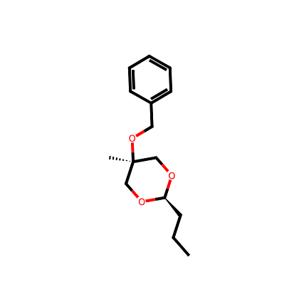 CCC[C@H]1OC[C@@](C)(OCc2ccccc2)CO1